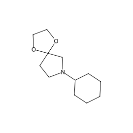 C1CCC(N2CCC3(C2)OCCO3)CC1